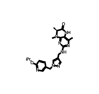 Cc1nc(NCc2cnn(Cc3ccc(OC(C)C)nc3)c2)nc2c1NC(=O)[C@H](C)N2C